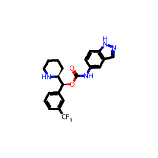 O=C(Nc1ccc2[nH]ncc2c1)O[C@@H](c1cccc(C(F)(F)F)c1)[C@@H]1CCCCN1